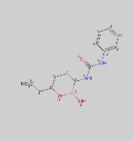 O=C(O)CC1CCC(NC(=O)Nc2ccccc2)B(O)O1